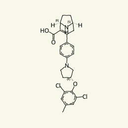 Cc1cc(Cl)c(O[C@@H]2CCN(c3ccc(C4=C(C(=O)O)[C@H]5CC[C@@H](C4)N5)cc3)C2)c(Cl)c1